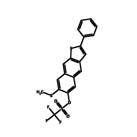 CSc1cc2cc3sc(-c4ccccc4)cc3cc2cc1OS(=O)(=O)C(F)(F)F